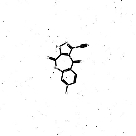 N#Cc1n[nH]c2c(=O)[nH]c3cc(Cl)ccc3c(=O)c12